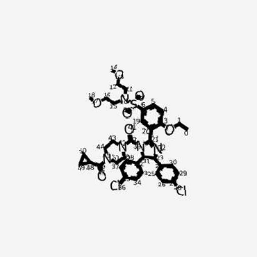 CCOc1ccc(S(=O)(=O)N(CCOC)CCOC)cc1C1=NC(c2ccc(Cl)cc2)C(c2ccc(Cl)cc2)N1C(=O)N1CCN(C(=O)C2CC2)CC1